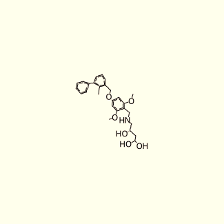 COc1cc(OCc2cccc(-c3ccccc3)c2C)cc(OC)c1CNC[C@@H](O)CC(O)O